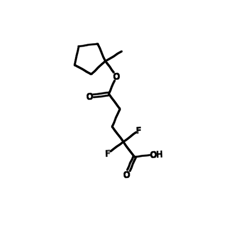 CC1(OC(=O)CCC(F)(F)C(=O)O)CCCC1